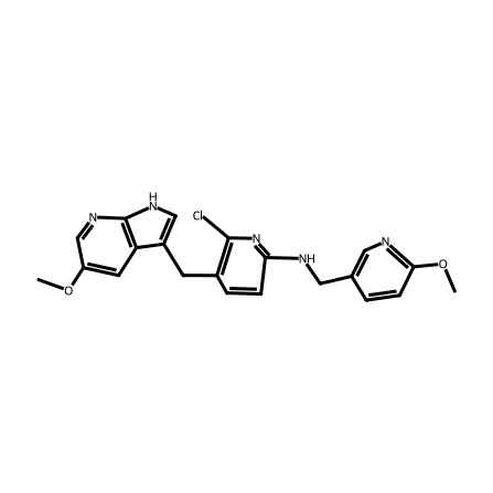 COc1cnc2[nH]cc(Cc3ccc(NCc4ccc(OC)nc4)nc3Cl)c2c1